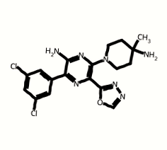 CC1(N)CCN(c2nc(N)c(-c3cc(Cl)cc(Cl)c3)nc2-c2nnco2)CC1